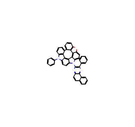 c1ccc(-c2nc3c(ccc4ccccc43)nc2-n2c3ccc4oc5cccc6c7cccc8c7c7c(c3c4c56)c2ccc7n8-c2ccccc2)cc1